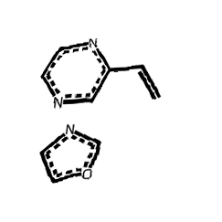 C=Cc1cnccn1.c1cocn1